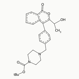 CC(O)c1oc(=O)c2ccccc2c1-c1ccc(CN2CCN(C(=O)OC(C)(C)C)CC2)cc1